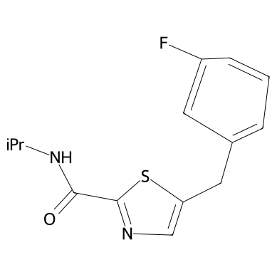 CC(C)NC(=O)c1ncc(Cc2cccc(F)c2)s1